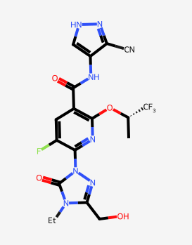 CCn1c(CO)nn(-c2nc(O[C@@H](C)C(F)(F)F)c(C(=O)Nc3c[nH]nc3C#N)cc2F)c1=O